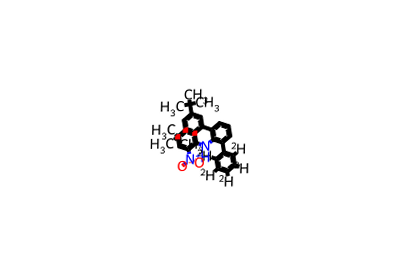 [2H]c1c([2H])c([2H])c(-c2cccc(-c3cc(C(C)(C)C)cc(C(C)(C)C)c3)c2Nc2ccccc2[N+](=O)[O-])c([2H])c1[2H]